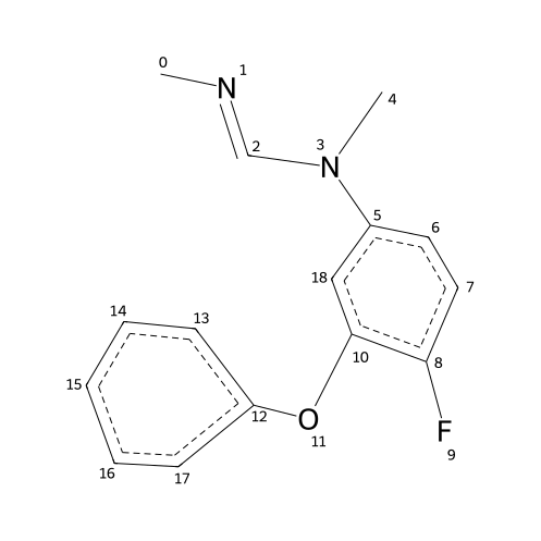 CN=CN(C)c1ccc(F)c(Oc2ccccc2)c1